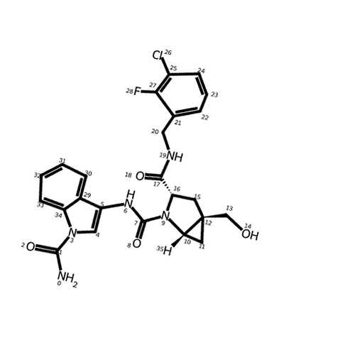 NC(=O)n1cc(NC(=O)N2[C@H]3C[C@@]3(CO)C[C@H]2C(=O)NCc2cccc(Cl)c2F)c2ccccc21